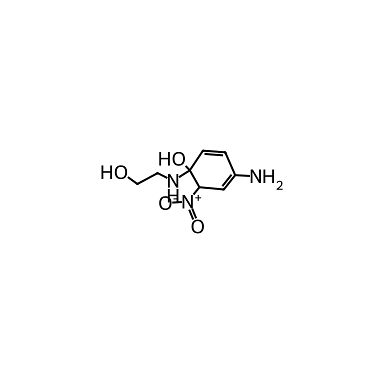 NC1=CC([N+](=O)[O-])C(O)(NCCO)C=C1